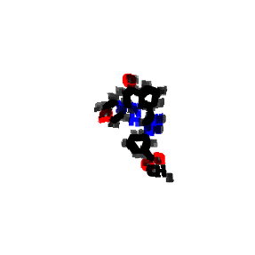 COC(=O)c1cccc(-n2cc(-c3cccc4c(=O)cc(N5CCOCC5)[nH]c34)nn2)c1